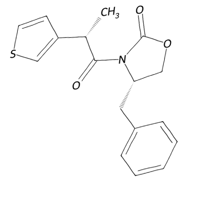 C[C@H](C(=O)N1C(=O)OC[C@@H]1Cc1ccccc1)c1ccsc1